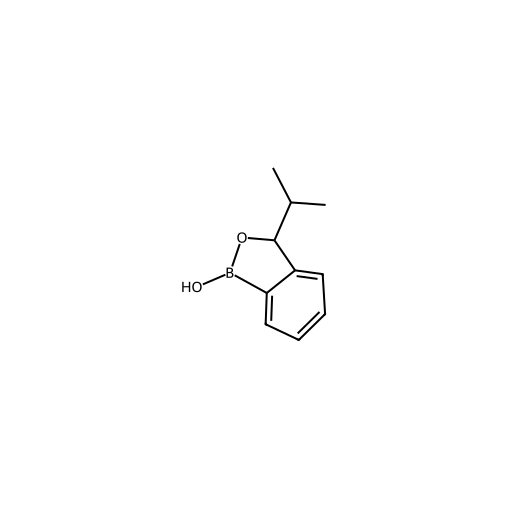 CC(C)C1OB(O)c2ccccc21